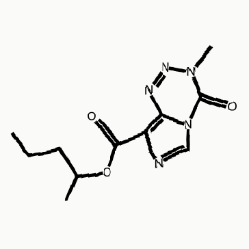 CCCC(C)OC(=O)c1ncn2c(=O)n(C)nnc12